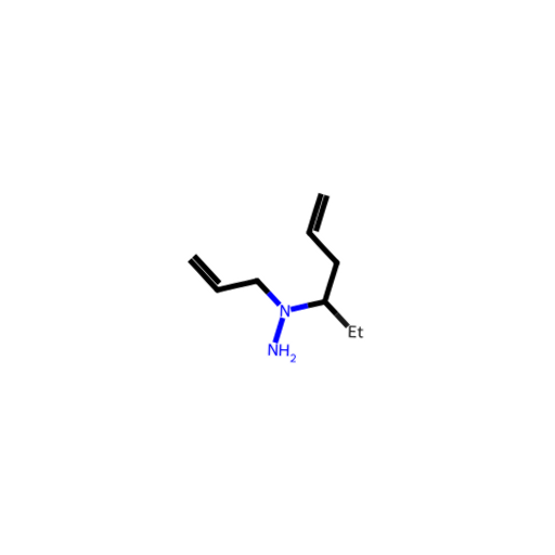 C=CCC(CC)N(N)CC=C